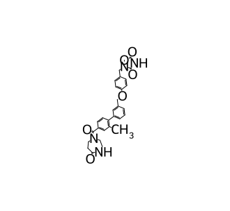 Cc1cc(C(=O)N2CCNC(=O)CC2)ccc1-c1cccc(COc2ccc(Cn3oc(=O)[nH]c3=O)cc2)c1